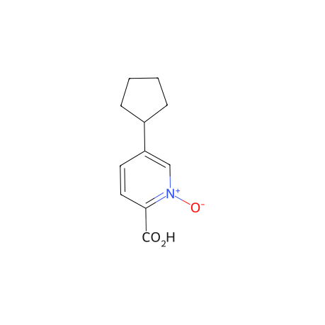 O=C(O)c1ccc(C2CCCC2)c[n+]1[O-]